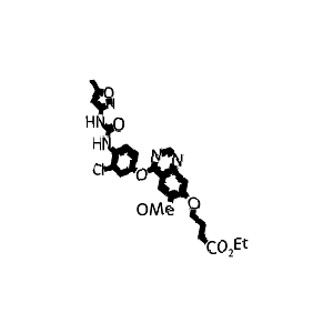 CCOC(=O)CCCOc1cc2ncnc(Oc3ccc(NC(=O)Nc4cc(C)on4)c(Cl)c3)c2cc1OC